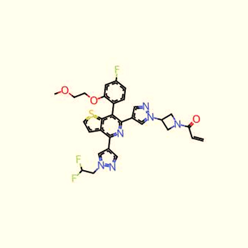 C=CC(=O)N1CC(n2cc(-c3nc(-c4cnn(CC(F)F)c4)c4ccsc4c3-c3ccc(F)cc3OCCOC)cn2)C1